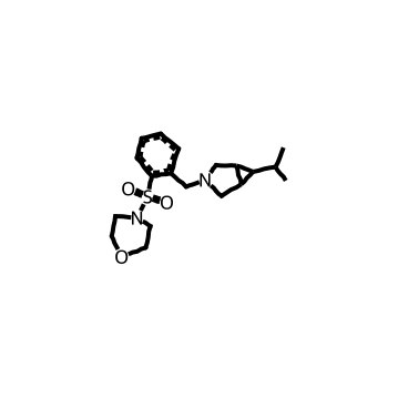 CC(C)C1C2CN(Cc3ccccc3S(=O)(=O)N3CCOCC3)CC21